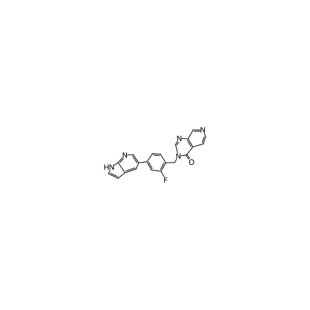 O=c1c2ccncc2ncn1Cc1ccc(-c2cnc3[nH]ccc3c2)cc1F